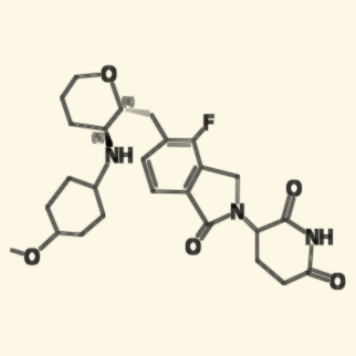 COC1CCC(N[C@H]2CCCO[C@@H]2Cc2ccc3c(c2F)CN(C2CCC(=O)NC2=O)C3=O)CC1